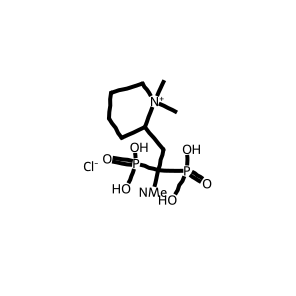 CNC(CC1CCCC[N+]1(C)C)(P(=O)(O)O)P(=O)(O)O.[Cl-]